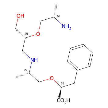 C[C@H](N)CO[C@@H](CO)CN[C@@H](C)CO[C@@H](Cc1ccccc1)C(=O)O